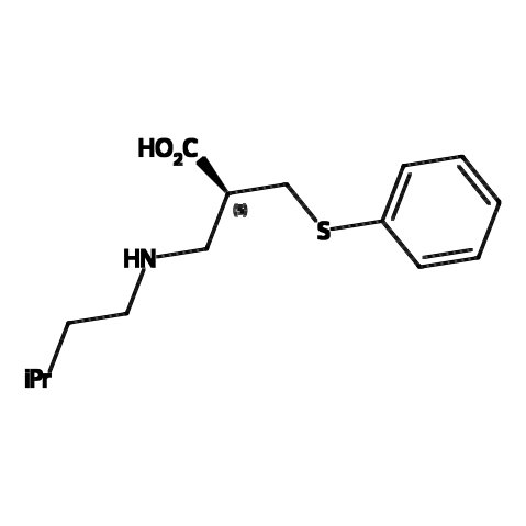 CC(C)CCNC[C@H](CSc1ccccc1)C(=O)O